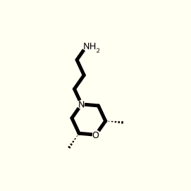 C[C@@H]1CN(CCCN)C[C@H](C)O1